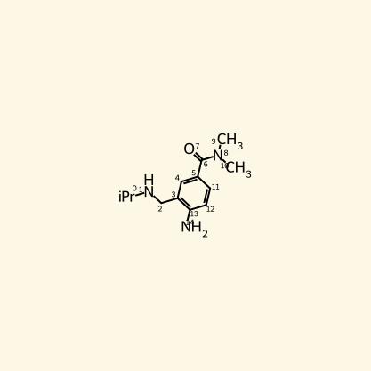 CC(C)NCc1cc(C(=O)N(C)C)ccc1N